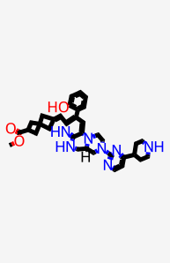 COC(=O)C1CC2(CC(=C/C=C(/C=C3\C(=N)NC[C@@H]4CN(c5nccc(C6CCNCC6)n5)CCN34)c3ccccc3O)C2)C1